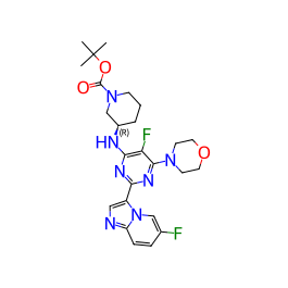 CC(C)(C)OC(=O)N1CCC[C@@H](Nc2nc(-c3cnc4ccc(F)cn34)nc(N3CCOCC3)c2F)C1